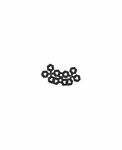 c1ccc([Si](c2ccccc2)(c2ccccc2)c2ccc3c(c2)C2(c4ccccc4-c4ccccc42)c2cc([Si](c4ccccc4)(c4ccccc4)c4ccccc4)ccc2-3)cc1